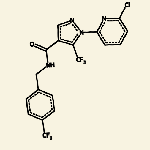 O=C(NCc1ccc(C(F)(F)F)cc1)c1cnn(-c2cccc(Cl)n2)c1C(F)(F)F